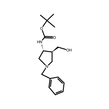 CC(C)(C)OC(=O)N[C@H]1CN(Cc2ccccc2)C[C@@H]1CO